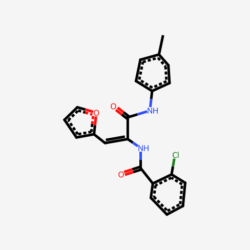 Cc1ccc(NC(=O)/C(=C\c2ccco2)NC(=O)c2ccccc2Cl)cc1